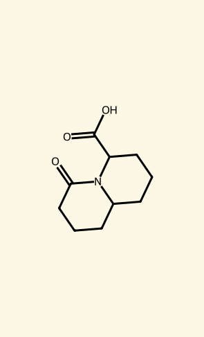 O=C(O)C1CCCC2CCCC(=O)N21